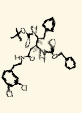 CC(C)(C)OC(=O)N[C@@H](Cc1ccccc1)[C@H](CC(=O)NCCc1ccc(Cl)c(Cl)c1)NC(=O)OCc1ccccc1